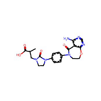 CC(CN1CCN(c2ccc(N3CCOc4ncnc(N)c4C3=O)cc2)C1=O)C(=O)O